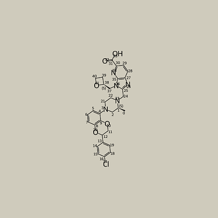 C[C@H]1CN(c2cccc3c2OCC(c2ccc(Cl)cc2)O3)CCN1Cc1nc2ccc(C(=O)O)nc2n1C[C@@H]1CCO1